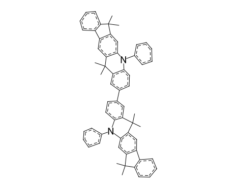 CC1(C)c2ccccc2-c2cc3c(cc21)N(c1ccccc1)c1ccc(-c2ccc4c(c2)C(C)(C)c2cc5c(cc2N4c2ccccc2)C(C)(C)c2ccccc2-5)cc1C3(C)C